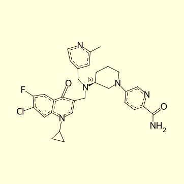 Cc1cc(CN(Cc2cn(C3CC3)c3cc(Cl)c(F)cc3c2=O)[C@H]2CCCN(c3ccc(C(N)=O)nc3)C2)ccn1